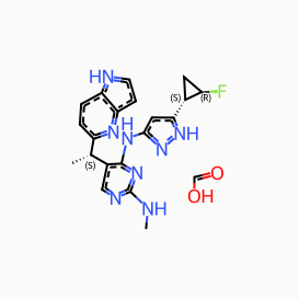 CNc1ncc([C@H](C)c2ccc3[nH]ccc3n2)c(Nc2cc([C@@H]3C[C@H]3F)[nH]n2)n1.O=CO